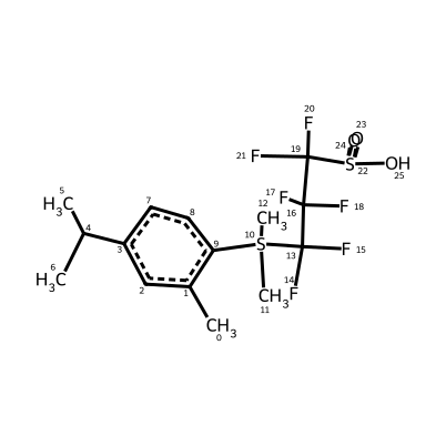 Cc1cc(C(C)C)ccc1S(C)(C)C(F)(F)C(F)(F)C(F)(F)S(=O)(=O)O